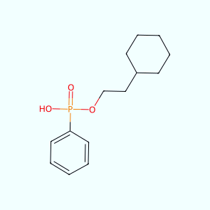 O=P(O)(OCCC1CCCCC1)c1ccccc1